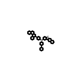 c1ccc(-c2ccc(N(c3ccc(-c4cc5ccc6ccccc6c5c5ccccc45)cc3)c3ccc4sc5cc6ccccc6cc5c4c3)cc2)cc1